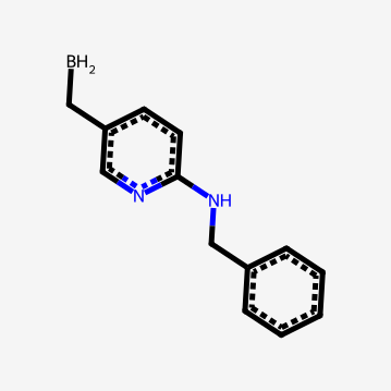 BCc1ccc(NCc2ccccc2)nc1